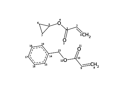 C=CC(=O)OC1CC1.C=CC(=O)OCc1ccccc1